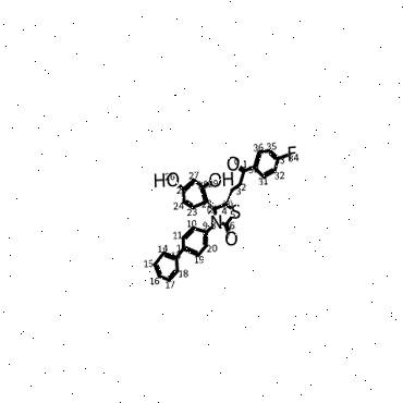 O=C(CC[C@H]1SC(=O)N(c2ccc(-c3ccccc3)cc2)[C@@H]1c1ccc(O)cc1O)c1ccc(F)cc1